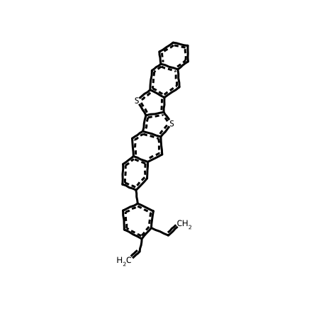 C=Cc1ccc(-c2ccc3cc4c(cc3c2)sc2c3cc5ccccc5cc3sc42)cc1C=C